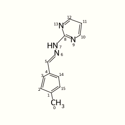 Cc1ccc(C=NNc2ncccn2)cc1